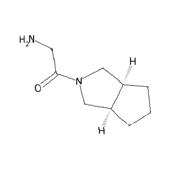 NCC(=O)N1C[C@H]2CCC[C@H]2C1